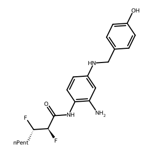 CCCCC[C@H](F)[C@H](F)C(=O)Nc1ccc(NCc2ccc(O)cc2)cc1N